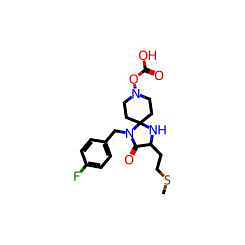 CSCCC1NC2(CCN(OC(=O)O)CC2)N(Cc2ccc(F)cc2)C1=O